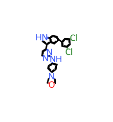 Clc1cc(Cl)cc(-c2ccc3[nH]cc(-c4ccnc(Nc5ccc(N6CCOCC6)cc5)n4)c3c2)c1